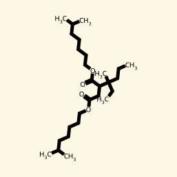 CCCC(C)(CC)C(CC(=O)OCCCCCC(C)C)C(=O)OCCCCCC(C)C